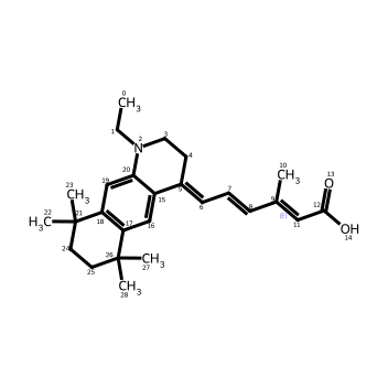 CCN1CCC(=CC=C/C(C)=C/C(=O)O)c2cc3c(cc21)C(C)(C)CCC3(C)C